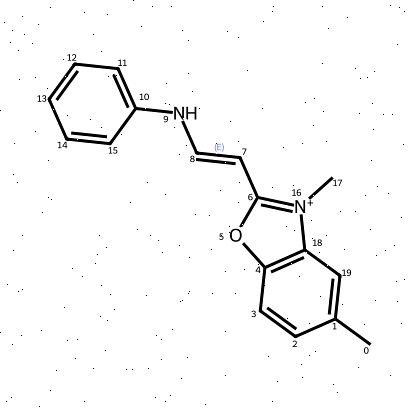 Cc1ccc2oc(/C=C/Nc3ccccc3)[n+](C)c2c1